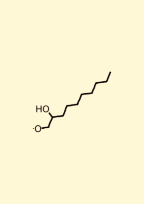 CCCCCCCCC(O)C[O]